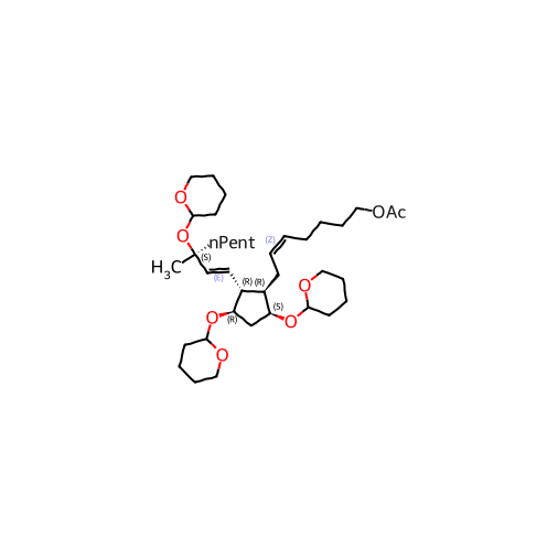 CCCCC[C@@](C)(/C=C/[C@@H]1[C@@H](C/C=C\CCCCOC(C)=O)[C@@H](OC2CCCCO2)C[C@H]1OC1CCCCO1)OC1CCCCO1